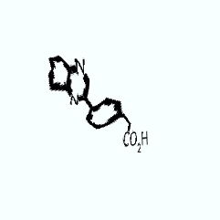 O=C(O)Cc1ccc(-c2cnc3ccccc3n2)cc1